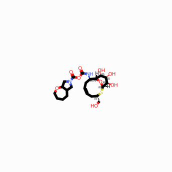 O=C(N[C@@H]1CC=CC[C@@H](CO)S[C@H]2O[C@H]1[C@H](O)[C@H](O)[C@H]2O)OC(=O)N1CC2CCCCOC2C1